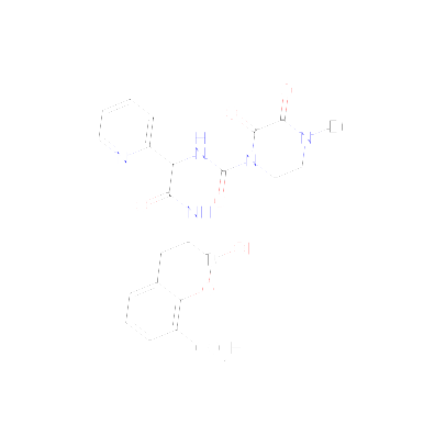 CCN1CCN(C(=O)NC(C(=O)N[C@H]2Cc3cccc(C(=O)O)c3OB2O)c2ccccn2)C(=O)C1=O